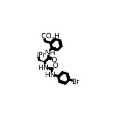 CC(C)C[C@H](NC(=O)Nc1ccc(Br)cc1)C(=O)Nc1ccccc1CC(=O)O